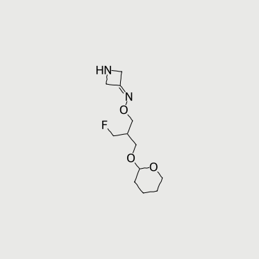 FCC(CON=C1CNC1)COC1CCCCO1